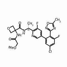 COCC(=O)NC1(C(=O)N[C@H](C)c2ncc(-c3cc(Cl)cc(F)c3-c3noc(C)n3)cc2F)COC1